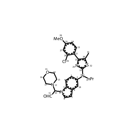 CCCN(c1ccc2c(ccn2C(C=O)N2CCOCC2)c1)c1nc(-c2ccc(OC)cc2Cl)c(C)s1